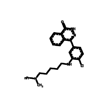 CCCN(C)CCCCCNc1cc(-c2n[nH]c(=O)c3ccccc23)ccc1Cl